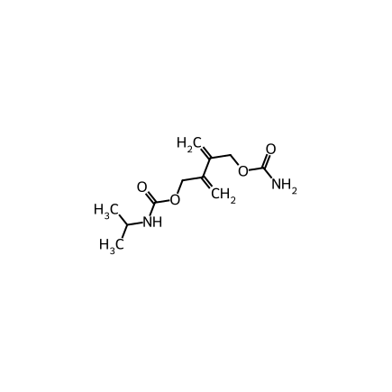 C=C(COC(N)=O)C(=C)COC(=O)NC(C)C